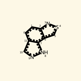 c1cc2nscc2c2[nH]ncc12